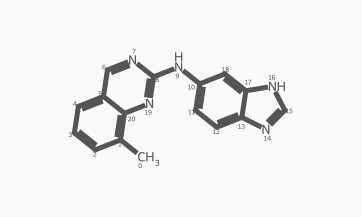 Cc1cccc2cnc(Nc3ccc4nc[nH]c4c3)nc12